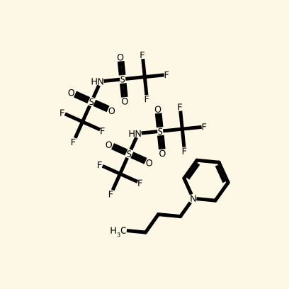 CCCCN1C=CC=CC1.O=S(=O)(NS(=O)(=O)C(F)(F)F)C(F)(F)F.O=S(=O)(NS(=O)(=O)C(F)(F)F)C(F)(F)F